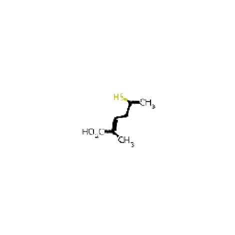 CC(=CCC(C)S)C(=O)O